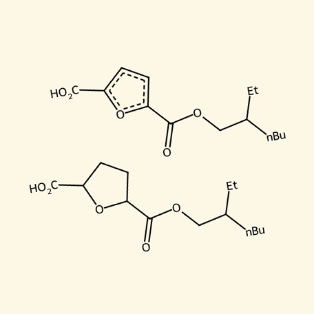 CCCCC(CC)COC(=O)C1CCC(C(=O)O)O1.CCCCC(CC)COC(=O)c1ccc(C(=O)O)o1